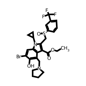 CCOC(=O)c1c(C[S+]([O-])c2cccc(C(F)(F)F)c2)n(C2CC2)c2cc(Br)c(O)c(CN3CCCC3)c12